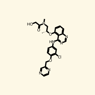 C[C@H](CN(C)C(=O)CO)Oc1cccc2ncnc(Nc3ccc(OCc4cnccn4)c(Cl)c3)c12